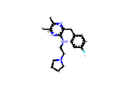 Cc1nc(Cc2ccc(F)cc2)c(NCCN2CCCC2)nc1C